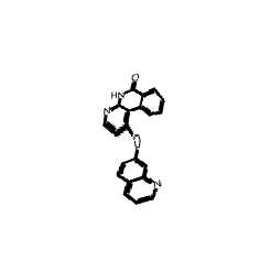 O=c1[nH]c2nccc(Oc3ccc4cccnc4c3)c2c2ccccc12